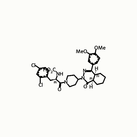 COc1ccc(C2=NN(C3CCN(C(=O)[C@@H](Cc4ccc(Cl)cc4Cl)NC(=O)O)CC3)C(=O)[C@@H]3CCCC[C@H]23)cc1OC